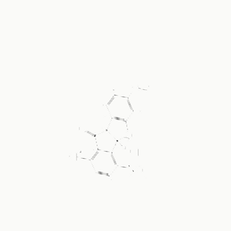 O=C1c2c(Cl)ccc([N+](=O)[O-])c2C2(O)Oc3cc(OC(F)(F)F)ccc3C12